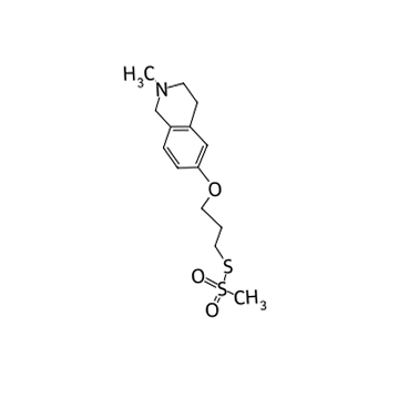 CN1CCc2cc(OCCCSS(C)(=O)=O)ccc2C1